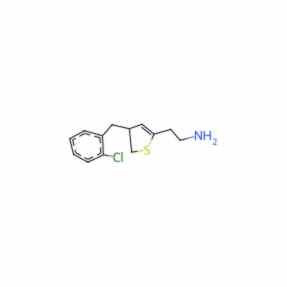 NCCC1=CC(Cc2ccccc2Cl)CS1